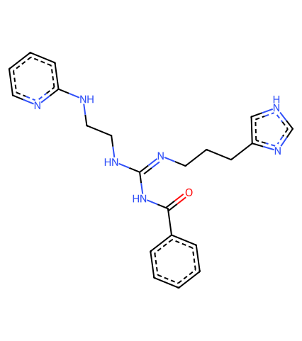 O=C(NC(=NCCCc1c[nH]cn1)NCCNc1ccccn1)c1ccccc1